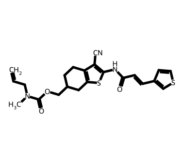 C=CCN(C)C(=O)OCC1CCc2c(sc(NC(=O)C=Cc3ccsc3)c2C#N)C1